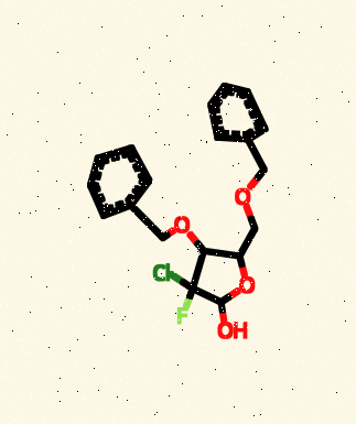 OC1OC(COCc2ccccc2)C(OCc2ccccc2)C1(F)Cl